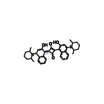 CC1CCCC(C)N1c1cc(O)c(C2=C([O-])/C(=C3\C(O)=CC(=[N+]4C(C)CCCC4C)c4ccccc43)C2=O)c2ccccc12